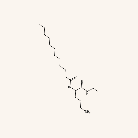 CCCCCCCCCCCC(=O)NC(CCCN)C(=O)NCC